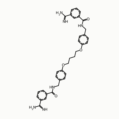 N=C(N)c1cccc(C(=O)NCc2ccc(OCCCCOc3ccc(CNC(=O)c4cccc(C(=N)N)c4)cc3)cc2)c1